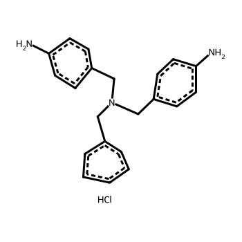 Cl.Nc1ccc(CN(Cc2ccccc2)Cc2ccc(N)cc2)cc1